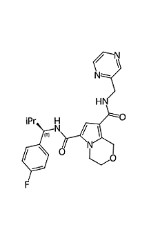 CC(C)[C@@H](NC(=O)c1cc(C(=O)NCc2cnccn2)c2n1CCOC2)c1ccc(F)cc1